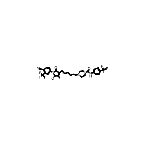 CC1=C(CCCCCCN2CCN(C(=O)Nc3ccc(C(F)(F)F)cc3)CC2)C(=O)N(c2ccc(C#N)c(C(F)(F)F)c2)C1=O